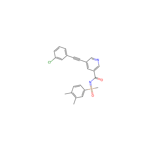 Cc1ccc(S(C)(=O)=NC(=O)c2cncc(C#Cc3cccc(Cl)c3)c2)cc1C